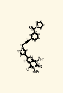 CCCn1c(=O)c2[nH]c(-c3cnn(CC#Cc4cccc(C(=O)N5CCCC5)c4)c3)nc2n(CCC)c1=O